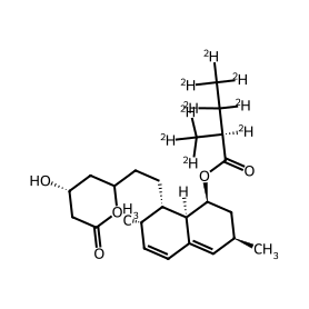 [2H]C([2H])([2H])C([2H])([2H])[C@@]([2H])(C(=O)O[C@H]1C[C@@H](C)C=C2C=C[C@H](C)[C@H](CCC3C[C@@H](O)CC(=O)O3)[C@H]21)C([2H])([2H])[2H]